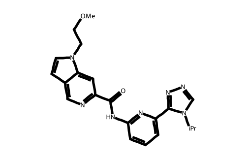 COCCn1ccc2cnc(C(=O)Nc3cccc(-c4nncn4C(C)C)n3)cc21